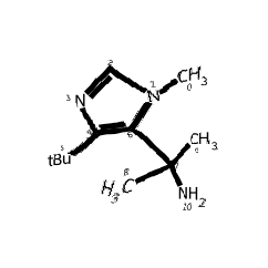 Cn1cnc(C(C)(C)C)c1C(C)(C)N